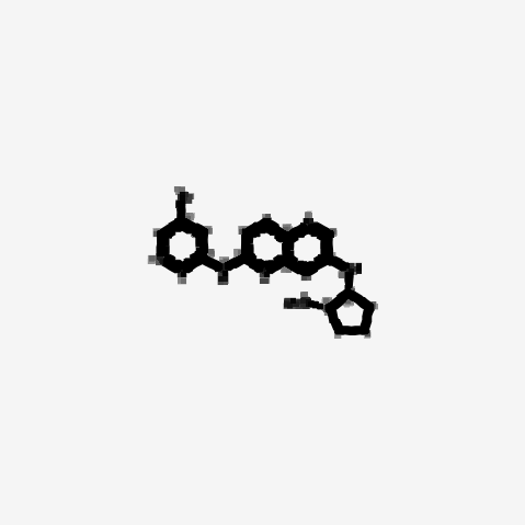 CO[C@H]1CCC[C@@H]1Nc1cnc2ccc(Nc3cc(C(C)C)cnn3)nc2c1